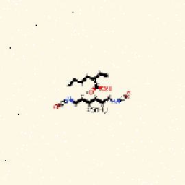 CCCCC(CC)C(=O)O.O=C=NCCCCCCN=C=O.[SnH2]